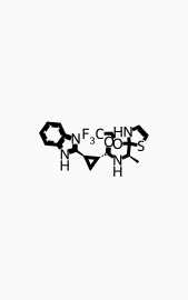 C[C@@H](NC(=O)[C@@H]1C[C@H]1c1nc2ccccc2[nH]1)C1(OCC(F)(F)F)NC=CS1